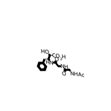 CC(=O)NCC(=O)NCC(=O)N[C@H](Cc1ccccc1)[C@H](O)C(=O)O